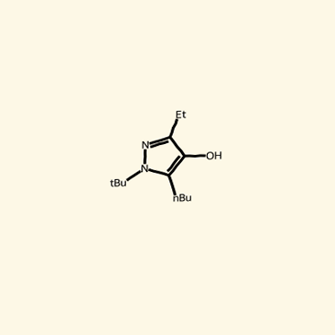 CCCCc1c(O)c(CC)nn1C(C)(C)C